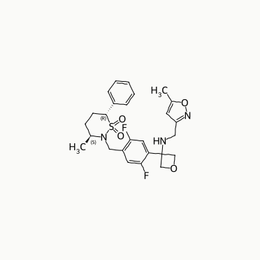 Cc1cc(CNC2(c3cc(F)c(CN4[C@@H](C)CC[C@H](c5ccccc5)S4(=O)=O)cc3F)COC2)no1